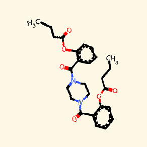 CCCC(=O)Oc1ccccc1C(=O)N1CCN(C(=O)c2ccccc2OC(=O)CCC)CC1